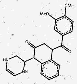 COc1ccc(C(=O)C2CC(=O)N(C3CNC=CN3)c3ccccc32)cc1OC